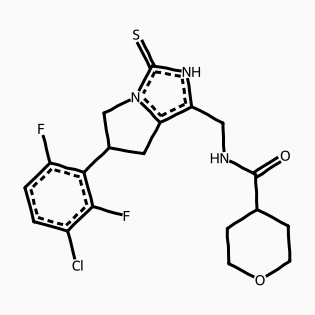 O=C(NCc1[nH]c(=S)n2c1CC(c1c(F)ccc(Cl)c1F)C2)C1CCOCC1